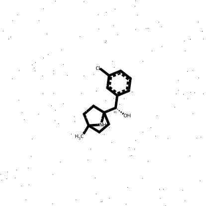 CC12CCC([C@@H](O)c3cccc(Cl)c3)(CC1)N2